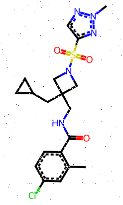 Cc1cc(Cl)ccc1C(=O)NCC1(CC2CC2)CN(S(=O)(=O)c2cnn(C)n2)C1